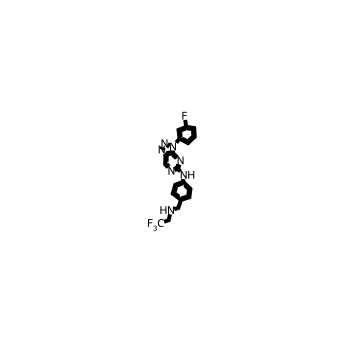 Fc1cccc(-n2nnc3cnc(Nc4ccc(CNCC(F)(F)F)cc4)nc32)c1